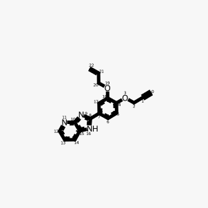 C#CCOc1ccc(-c2nc3ncccc3[nH]2)cc1OCC=C